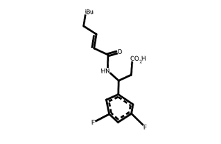 CCC(C)C/C=C/C(=O)NC(CC(=O)O)c1cc(F)cc(F)c1